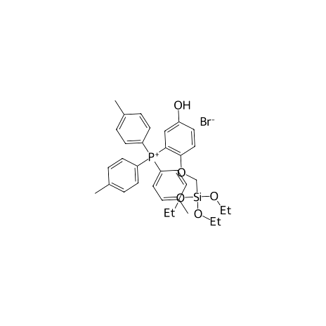 CCO[Si](COc1ccc(O)cc1[P+](c1ccc(C)cc1)(c1ccc(C)cc1)c1ccc(C)cc1)(OCC)OCC.[Br-]